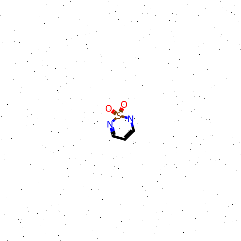 O=S1(=O)[N]C=CC=N1